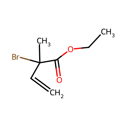 C=CC(C)(Br)C(=O)OCC